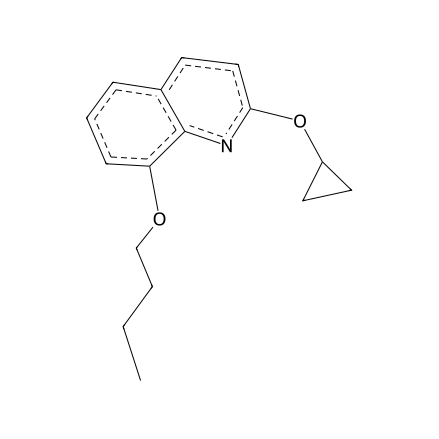 CCCCOc1cccc2ccc(OC3CC3)nc12